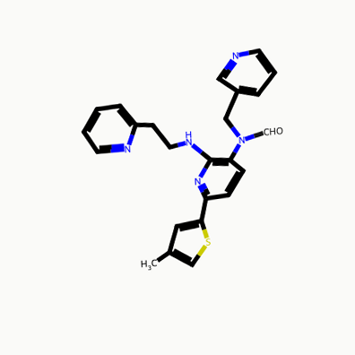 Cc1csc(-c2ccc(N(C=O)Cc3cccnc3)c(NCCc3ccccn3)n2)c1